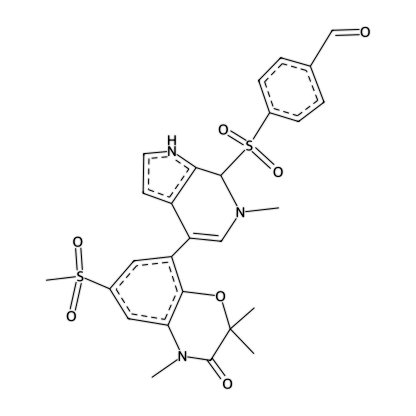 CN1C(=O)C(C)(C)Oc2c(C3=CN(C)C(S(=O)(=O)c4ccc(C=O)cc4)c4[nH]ccc43)cc(S(C)(=O)=O)cc21